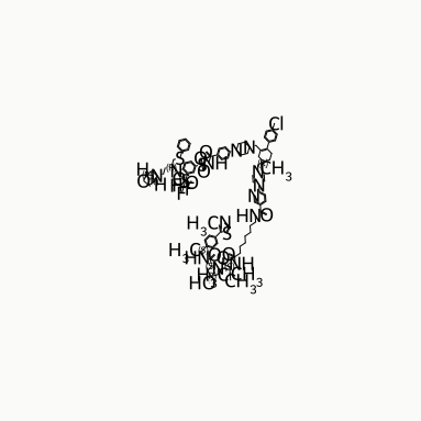 Cc1ncsc1-c1ccc([C@H](C)NC(=O)[C@@H]2C[C@@H](O)CN2C(=O)[C@@H](NC(=O)CCCCCCCNC(=O)c2ccc(N3CCN(C[C@]4(C)CCC(c5ccc(Cl)cc5)=C(CN5CCN(c6ccc(C(=O)NS(=O)(=O)c7ccc(N[C@H](CCN8C[C@H]9C[C@@H]8CO9)CSc8ccccc8)c(S(=O)(=O)C(F)(F)F)c7)cc6)CC5)C4)CC3)nc2)C(C)(C)C)cc1